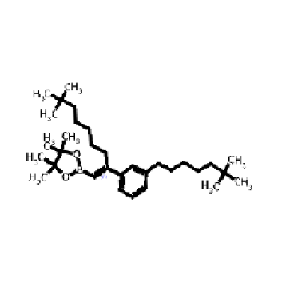 CC(C)(C)CCCCC/C(=C\B1OC(C)(C)C(C)(C)O1)c1cccc(CCCCCC(C)(C)C)c1